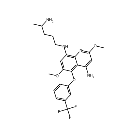 COc1cc(N)c2c(Oc3cccc(C(F)(F)F)c3)c(OC)cc(NCCCC(C)N)c2n1